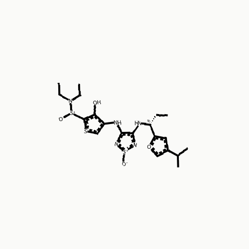 CC[C@@H](Nc1n[s+]([O-])nc1Nc1csc([S+]([O-])N(CC)CC)c1O)c1cc(C(C)C)co1